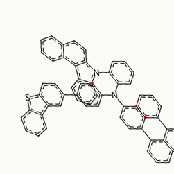 c1ccc(-c2cccc3cccc(-c4ccc(N(c5ccc(-c6ccc7sc8ccccc8c7c6)cc5)c5ccccc5-n5c6ccccc6c6c7ccccc7ccc65)cc4)c23)cc1